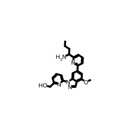 CCCC(N)c1cccc(-c2cc(OC)c3cnn(-c4cccc(CO)n4)c3c2)n1